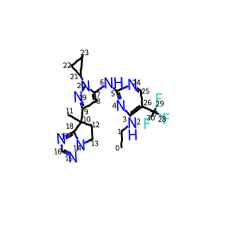 CCNc1nc(Nc2cc(C3(C)CCn4ncnc43)nn2C2CC2)ncc1C(F)(F)F